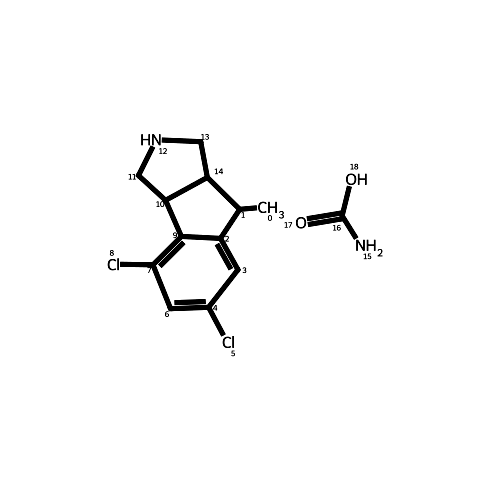 CC1c2cc(Cl)cc(Cl)c2C2CNCC12.NC(=O)O